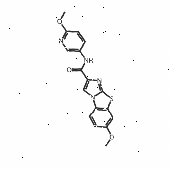 COc1ccc2c(c1)sc1nc(C(=O)Nc3ccc(OC)nc3)cn12